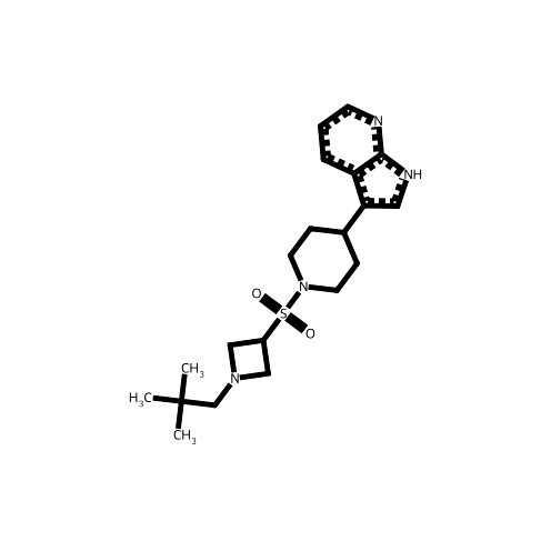 CC(C)(C)CN1CC(S(=O)(=O)N2CCC(c3c[nH]c4ncccc34)CC2)C1